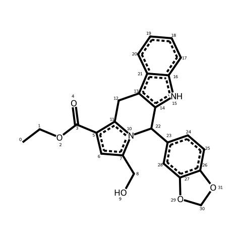 CCOC(=O)c1cc(CO)n2c1Cc1c([nH]c3ccccc13)C2c1ccc2c(c1)OCO2